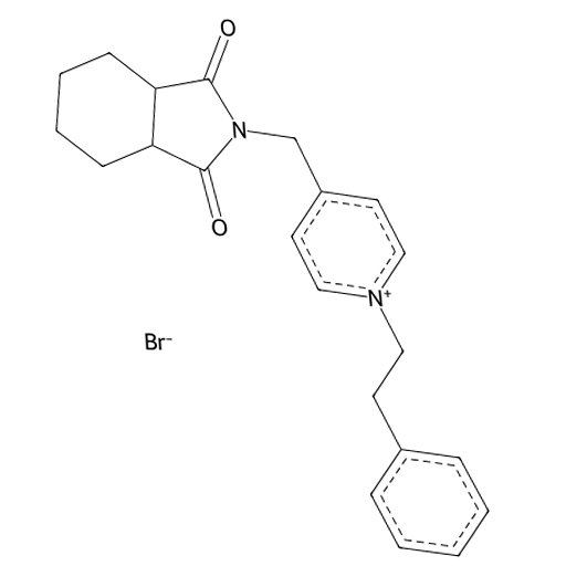 O=C1C2CCCCC2C(=O)N1Cc1cc[n+](CCc2ccccc2)cc1.[Br-]